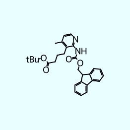 Cc1ccnc(NC(=O)OCC2c3ccccc3-c3ccccc32)c1CCCC(=O)OC(C)(C)C